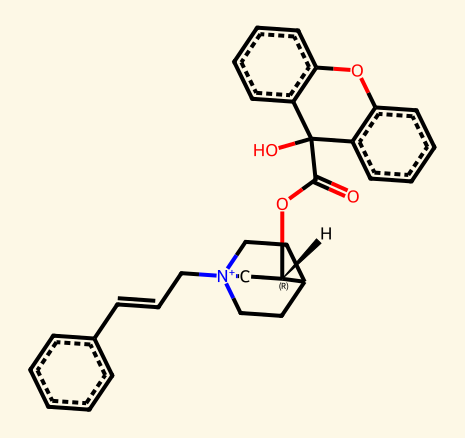 O=C(O[C@H]1C[N+]2(CC=Cc3ccccc3)CCC1CC2)C1(O)c2ccccc2Oc2ccccc21